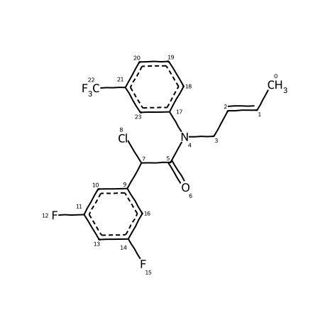 CC=CCN(C(=O)C(Cl)c1cc(F)cc(F)c1)c1cccc(C(F)(F)F)c1